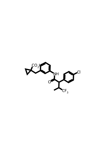 CC(C(C(=O)Nc1cccc(CC2(C(=O)O)CC2)c1)c1ccc(Cl)cc1)C(F)(F)F